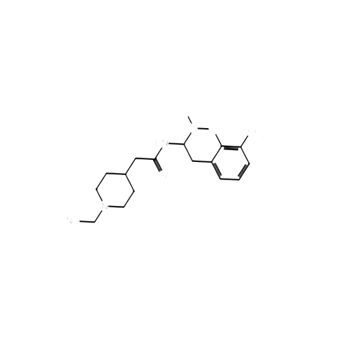 N#CCN1CCC(CC(=O)NC2Cc3cccc(C(=O)O)c3OB2O)CC1